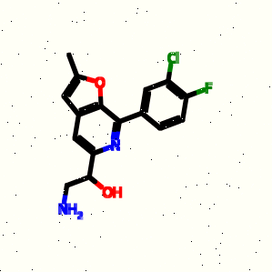 Cc1cc2cc(C(O)CN)nc(-c3ccc(F)c(Cl)c3)c2o1